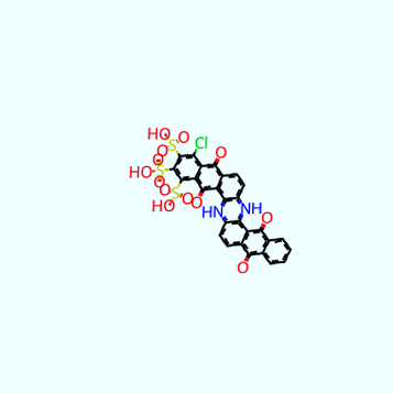 O=c1c2ccccc2c(=O)c2c1ccc1[nH]c3c(ccc4c(=O)c5c(Cl)c(S(=O)(=O)O)c(S(=O)(=O)O)c(S(=O)(=O)O)c5c(=O)c43)[nH]c12